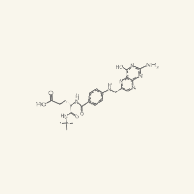 CC(C)(C)NC(=O)[C@H](CCC(=O)O)NC(=O)c1ccc(NCc2cnc3nc(N)nc(O)c3n2)cc1